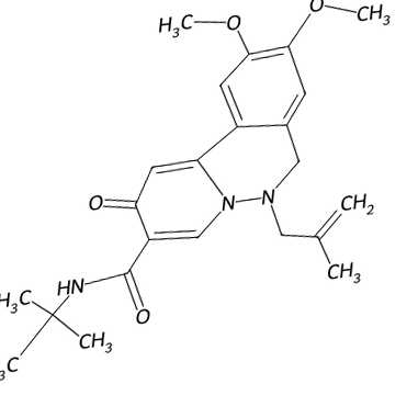 C=C(C)CN1Cc2cc(OC)c(OC)cc2-c2cc(=O)c(C(=O)NC(C)(C)C)cn21